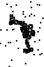 COc1cc(-c2nccc(-c3cccc(-c4ccc(CNC5CCN(C(C)=O)CC5)c(OC)n4)c3Cl)c2Cl)ccc1CN1CC2(CC(C(=O)O)C2)C1